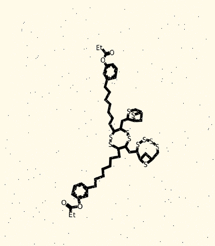 CCC(=O)Oc1cccc(CCCCCCCC2SSC(CCCCCCCc3cccc(OC(=O)CC)c3)C(CC3SSSSCC4CC3S4)SSC2CC2SCC3CC2S3)c1